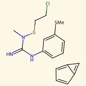 CSc1cccc(NC(=N)N(C)SCCCl)c1.c1cc2cc-2c1